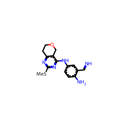 CSc1nc2c(c(Nc3ccc(N)c(C=N)c3)n1)COCC2